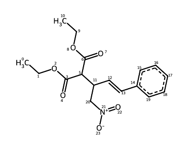 CCOC(=O)C(C(=O)OCC)C(C=Cc1ccccc1)C[N+](=O)[O-]